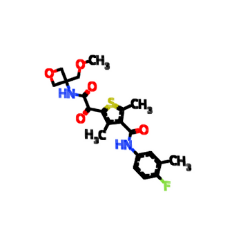 COCC1(NC(=O)C(=O)c2sc(C)c(C(=O)Nc3ccc(F)c(C)c3)c2C)COC1